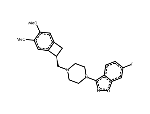 COc1cc2c(cc1OC)[C@H](CN1CCN(c3noc4cc(F)ccc34)CC1)C2